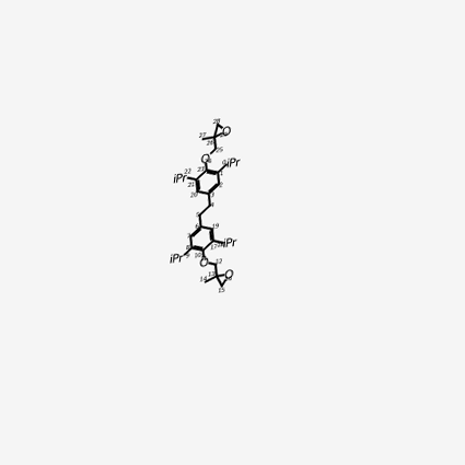 CC(C)c1cc(CCc2cc(C(C)C)c(OCC3(C)CO3)c(C(C)C)c2)cc(C(C)C)c1OCC1(C)CO1